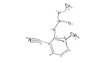 COC(=O)Oc1c(C)cccc1C#N